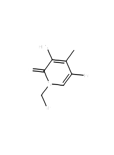 Cc1c(Br)cn(CC(C)C)c(=O)c1N